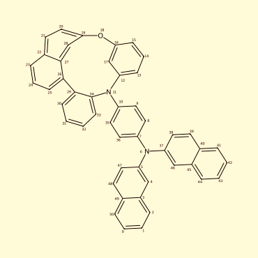 c1ccc2cc(N(c3ccc(-n4c5cccc(c5)oc5ccc6cccc(c6c5)c5ccccc54)cc3)c3ccc4ccccc4c3)ccc2c1